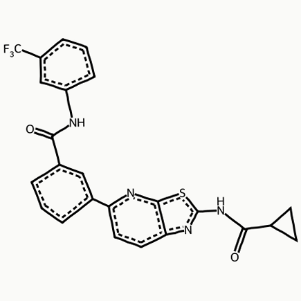 O=C(Nc1cccc(C(F)(F)F)c1)c1cccc(-c2ccc3nc(NC(=O)C4CC4)sc3n2)c1